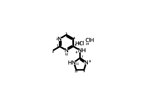 Cc1nccc(NC2=NCCN2)n1.Cl.Cl